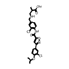 CC(C)Oc1ccc(-c2cc(C(=O)Nc3ccc(CNCC(C)C(=O)O)cc3Cl)on2)cc1Cl